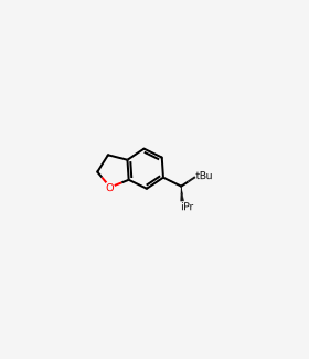 CC(C)[C@@H](c1ccc2c(c1)OCC2)C(C)(C)C